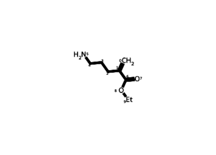 C=C(CCCN)C(=O)OCC